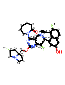 C#Cc1c(F)ccc2cc(O)cc(-c3ncc4c(N5CCCCCC5=O)nc(OC[C@@]56CCCN5C[C@H](F)C6)nc4c3F)c12